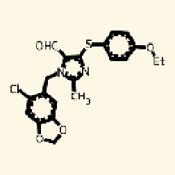 CCOc1ccc(Sc2nc(C)n(Cc3cc4c(cc3Cl)OCO4)c2C=O)cc1